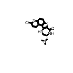 CN(C)C[C@@H]1CNc2c(sc3ccc4nc(Cl)ccc4c23)C(=O)N1